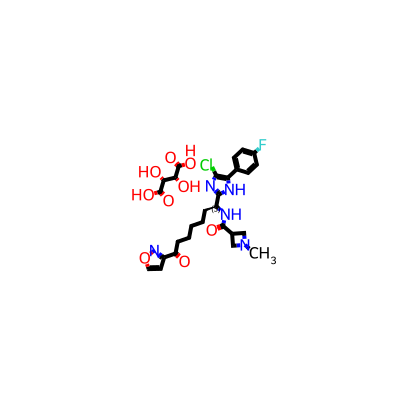 CN1CC(C(=O)N[C@@H](CCCCCC(=O)c2ccon2)c2nc(Cl)c(-c3ccc(F)cc3)[nH]2)C1.O=C(O)C(O)C(O)C(=O)O